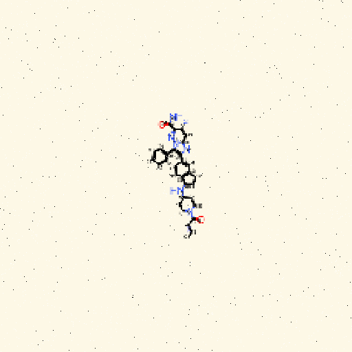 C/C=C/C(=O)N1CCC(N[C@H]2CCc3cc(-c4nc5ccc(C(N)=O)nn5c4-c4ccccc4)ccc32)CC1